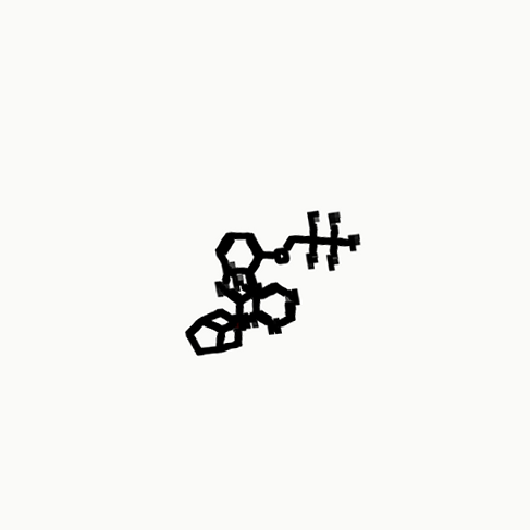 Fc1cncnc1N1CC2CCC(C1)C2Nc1nc2c(OCC(F)(F)C(F)(F)F)cccn2n1